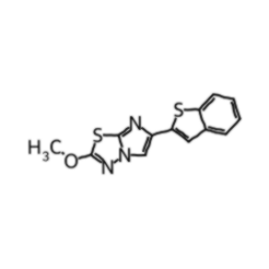 COc1nn2cc(-c3cc4ccccc4s3)nc2s1